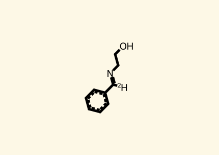 [2H]C(=NCCO)c1ccccc1